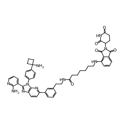 Nc1ncccc1-c1nc2ccc(-c3cccc(CCNC(=O)CCCCCCNc4cccc5c4C(=O)N(C4CCC(=O)NC4=O)C5=O)c3)nc2n1-c1ccc(C2(N)CCC2)cc1